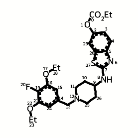 CCOC(=O)Oc1ccc2nc(NC3CCN(Cc4cc(OCC)c(F)c(OCC)c4)CC3)sc2c1